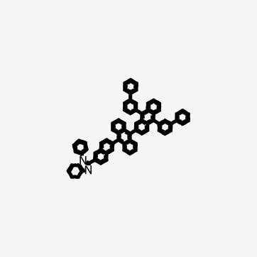 C1=Cc2c(nc(-c3ccc4cc(-c5c6ccccc6c(-c6ccc7c(-c8cccc(-c9ccccc9)c8)c8ccccc8c(-c8cccc(-c9ccccc9)c8)c7c6)c6ccccc56)ccc4c3)n2-c2ccccc2)CC1